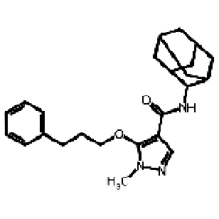 Cn1ncc(C(=O)NC2C3CC4CC(C3)CC2C4)c1OCCCc1ccccc1